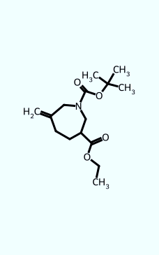 C=C1CCC(C(=O)OCC)CN(C(=O)OC(C)(C)C)C1